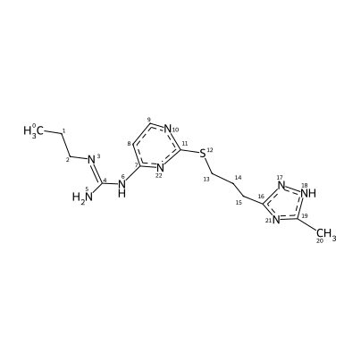 CCCN=C(N)Nc1ccnc(SCCCc2n[nH]c(C)n2)n1